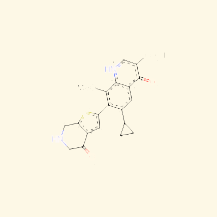 COc1c(-c2cc3c(s2)CNCC3=O)c(C2CC2)cc2c(=O)c(C(=O)O)c[nH]c12